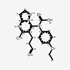 CCOc1ccc(N(C(=O)O)c2c(CCC=O)c(Cl)nc3ccnn23)cc1